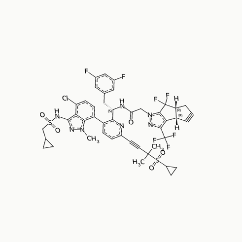 Cn1nc(NS(=O)(=O)CC2CC2)c2c(Cl)ccc(-c3ccc(C#CC(C)(C)S(=O)(=O)C4CC4)nc3[C@H](Cc3cc(F)cc(F)c3)NC(=O)Cn3nc(C(F)(F)F)c4c3C(F)(F)[C@@H]3CC#C[C@H]43)c21